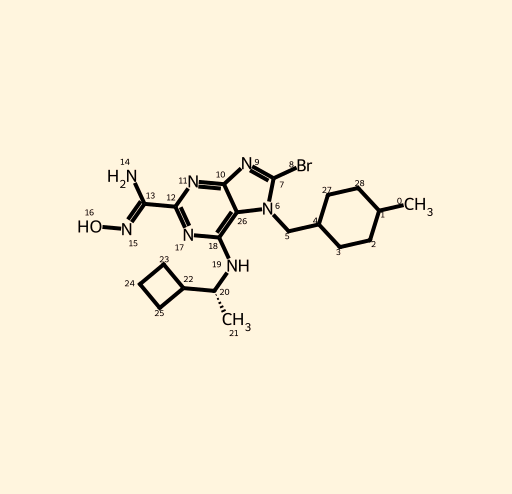 CC1CCC(Cn2c(Br)nc3nc(C(N)=NO)nc(N[C@H](C)C4CCC4)c32)CC1